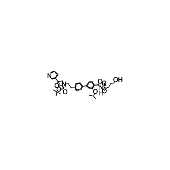 CC(C)Oc1cc(-c2ccc(CCN(C[C@H](O)c3cccnc3)C(=O)OC(C)(C)C)cc2)ccc1C(=O)NS(=O)(=O)CCCO